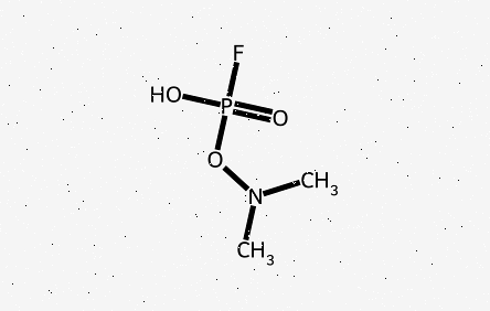 CN(C)OP(=O)(O)F